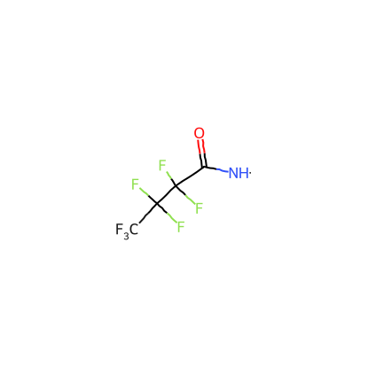 [NH]C(=O)C(F)(F)C(F)(F)C(F)(F)F